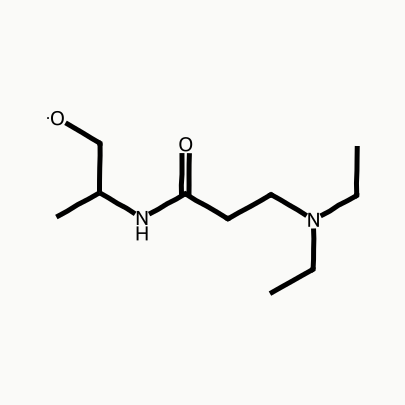 CCN(CC)CCC(=O)NC(C)C[O]